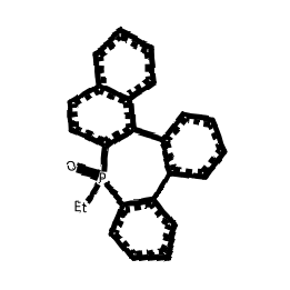 CCP1(=O)c2ccccc2-c2ccccc2-c2c1ccc1ccccc21